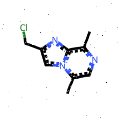 Cc1ncc(C)n2cc(CCl)nc12